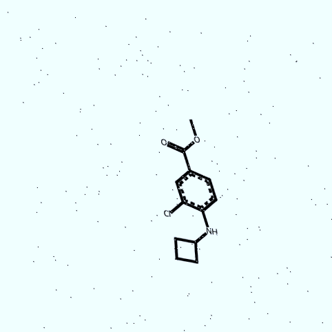 COC(=O)c1ccc(NC2CCC2)c(Cl)c1